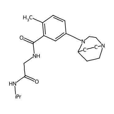 Cc1ccc(N2CCN3CCC2CC3)cc1C(=O)NCC(=O)NC(C)C